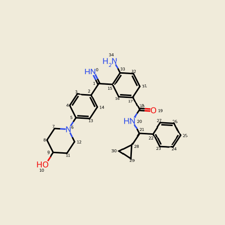 N=C(c1ccc(N2CCC(O)CC2)cc1)c1cc(C(=O)NC(c2ccccc2)C2CC2)ccc1N